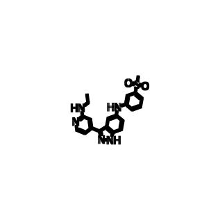 CCNc1cc(-c2n[nH]c3ccc(Nc4cccc(S(C)(=O)=O)c4)cc23)ccn1